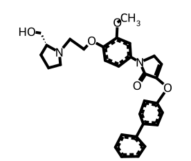 COc1cc(N2CC=C(Oc3ccc(-c4ccccc4)cc3)C2=O)ccc1OCCN1CCC[C@@H]1CO